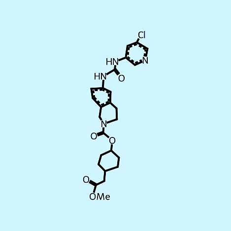 COC(=O)CC1CCC(OC(=O)N2CCc3cc(NC(=O)Nc4cncc(Cl)c4)ccc3C2)CC1